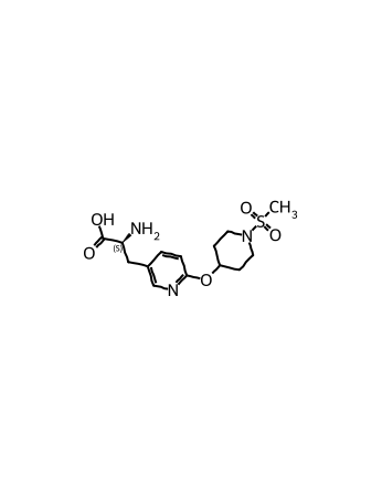 CS(=O)(=O)N1CCC(Oc2ccc(C[C@H](N)C(=O)O)cn2)CC1